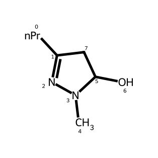 CCCC1=NN(C)C(O)C1